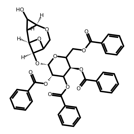 O=C(OCC1O[C@@H](O[C@@H]2C3CO[C@@H]4C(O)[C@@H]4[C@H]2O3)[C@@H](OC(=O)c2ccccc2)C(OC(=O)c2ccccc2)[C@@H]1OC(=O)c1ccccc1)c1ccccc1